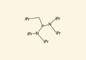 CC(C)CP(N(C(C)C)C(C)C)N(C(C)C)C(C)C